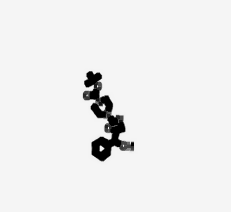 CC(C)(C)OC(=O)N1CCN(c2ncc(C(O)c3ccccc3)o2)CC1